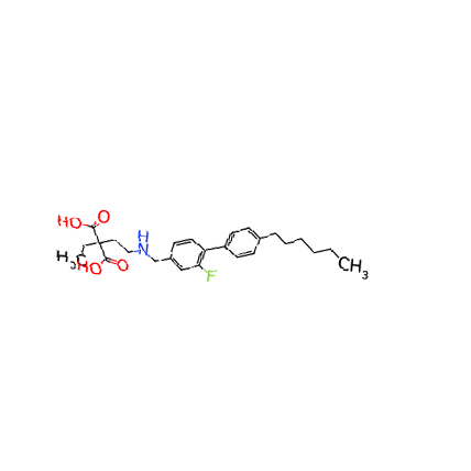 CCCCCCc1ccc(-c2ccc(CNCCC(CC)(C(=O)O)C(=O)O)cc2F)cc1